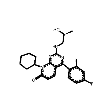 Cc1cc(F)ccc1-c1nc(NC[C@H](C)O)nc2c1ccc(=O)n2C1CCCCC1